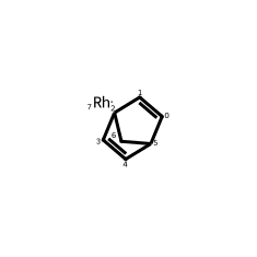 C1=CC2C=CC1C2.[Rh]